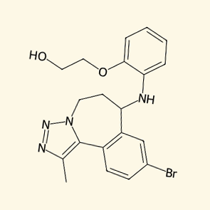 Cc1nnn2c1-c1ccc(Br)cc1C(Nc1ccccc1OCCO)CC2